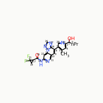 CCCC(O)c1cc(C)c(-c2cc3cnc(NC(=O)C4CC4(F)F)cc3n3ncnc23)cn1